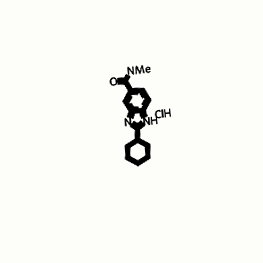 CNC(=O)c1ccc2[nH]c(C3CCCCC3)nc2c1.Cl